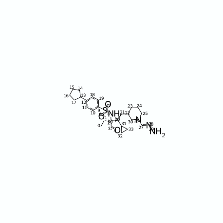 CC[C@]([C]=O)(NS(=O)(=O)c1ccc(C2CCCC2)cc1)[C@@H](CC1CCCN(C=NN)C1)C1CC1